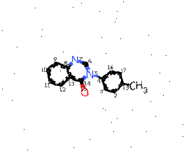 Cc1ccc(-n2cnc3ccccc3c2=O)cc1